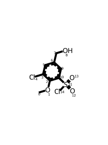 COc1c(Cl)cc(CO)cc1S(=O)(=O)Cl